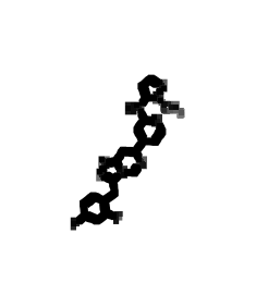 Cn1nccc1Nc1cc(-c2cc3nnc(Cc4ccc(F)cc4F)n3cn2)ccn1